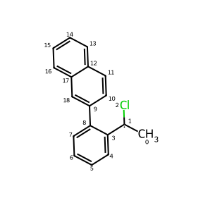 C[C](Cl)c1ccccc1-c1ccc2ccccc2c1